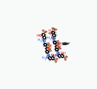 NC1(N=Nc2ccc(C=Cc3ccc(N=NC4(N)C=CC5=CC(=S(=O)=O)C=C(O)C5=C4)cc3S(=O)(=O)[O-])c(S(=O)(=O)[O-])c2)C=CC2=CC(=S(=O)=O)C=C(O)C2=C1.NC1(N=Nc2ccc(C=Cc3ccc(N=NC4(N)C=CC5=CC(=S(=O)=O)C=C(O)C5=C4)cc3S(=O)(=O)[O-])c(S(=O)(=O)[O-])c2)C=CC2=CC(=S(=O)=O)C=C(O)C2=C1.[Na+].[Na+].[Na+].[Na+]